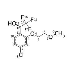 COCCOc1cc(Cl)ccc1[C@@H](O)C(F)(F)F